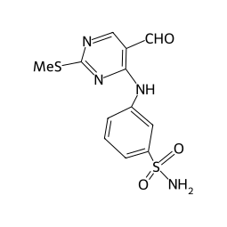 CSc1ncc(C=O)c(Nc2cccc(S(N)(=O)=O)c2)n1